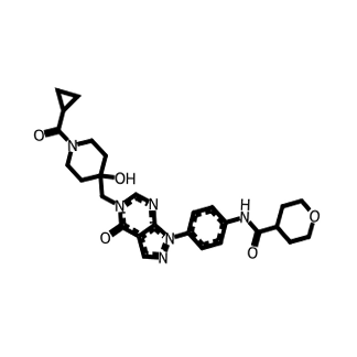 O=C(Nc1ccc(-n2ncc3c(=O)n(CC4(O)CCN(C(=O)C5CC5)CC4)cnc32)cc1)C1CCOCC1